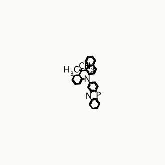 CC1(C)c2c(ccc3ccccc23)N(c2ccc3pc4c(nc3c2)=CCCC=4)C2=CC=CCC21